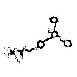 CCc1c(OCc2ccccc2)cc(OCC2COCCO2)nc1C#Cc1ccc(OCCNC(=O)OC(C)(C)C)cc1